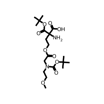 COCCN(CC(=O)OCCC(N)(C(=O)O)C(=O)OC(C)(C)C)C(=O)OC(C)(C)C